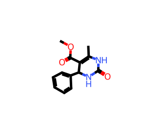 COC(=O)C1=C(C)NC(=O)NC1c1ccccc1